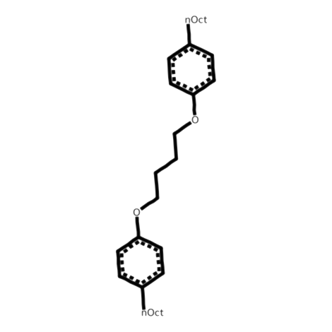 CCCCCCCCc1ccc(OCCCCOc2ccc(CCCCCCCC)cc2)cc1